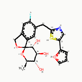 C[C@H]1O[C@]2(OCc3cc(F)c(Cc4ncc(-c5ccco5)s4)cc32)[C@H](O)[C@@H](O)[C@@H]1O